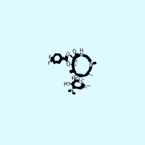 CC1[C@@H](O[C@@H]2O[C@H](C)C[C@H](N(C)C)[C@H]2O)[C@](C)(O)C[C@@H](C)CN(C)CCNC(=O)[C@H](C)[C@H]1OC(=O)C1CCC(F)(F)CC1